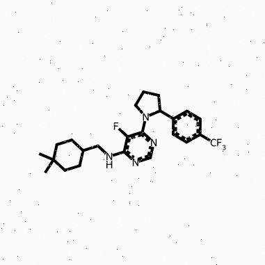 CC1(C)CCC(CNc2ncnc(N3CCCC3c3ccc(C(F)(F)F)cc3)c2F)CC1